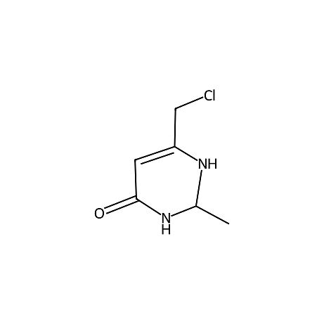 CC1NC(=O)C=C(CCl)N1